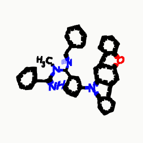 CN(C(=N)c1ccccc1)C(/N=C/c1ccccc1)c1cccc(-n2c3ccccc3c3cc4oc5ccccc5c4cc32)c1